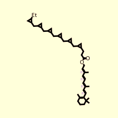 CCC1CC1CC1CC1CC1CC1CC1CC1CC1CC1CC1CC1CCC(=O)OC/C=C(C)/C=C/C=C(C)/C=C/C1=C(C)CCCC1(C)C